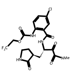 CNC(=O)C(=O)[C@H](C[C@@H]1CCNC1=O)NC(=O)c1cc(Cl)ccc1NC(=O)OCC(F)(F)F